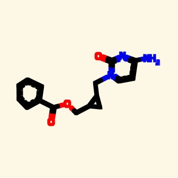 Nc1ccn(CC2CC2COC(=O)c2ccccc2)c(=O)n1